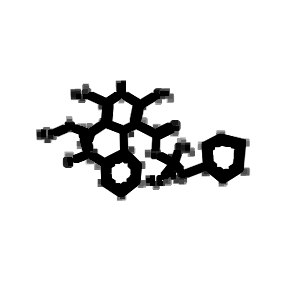 COC(=O)C1=C(C)NC(C)=C(C(=O)OC(C)(C)[SiH2]c2ccccc2)C1c1ccccc1[N+](=O)[O-]